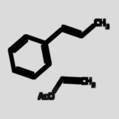 C=COC(C)=O.CC=Cc1ccccc1